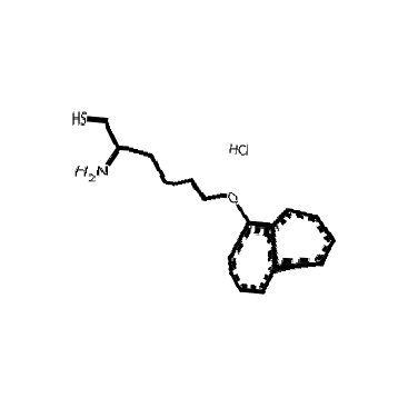 Cl.NC(CS)CCCCOc1cccc2ccccc12